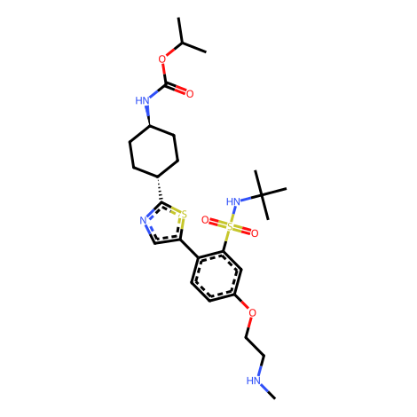 CNCCOc1ccc(-c2cnc([C@H]3CC[C@H](NC(=O)OC(C)C)CC3)s2)c(S(=O)(=O)NC(C)(C)C)c1